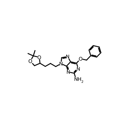 CC1(C)OCC(CCCn2cnc3c(OCc4ccccc4)nc(N)nc32)O1